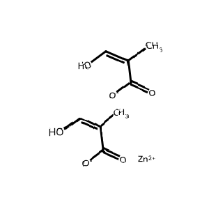 CC(=CO)C(=O)[O-].CC(=CO)C(=O)[O-].[Zn+2]